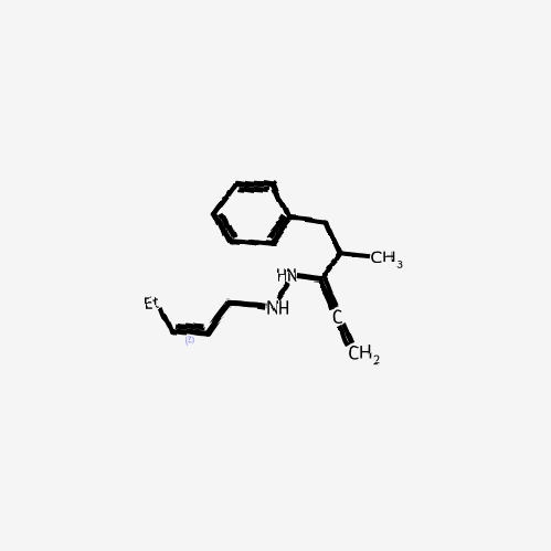 C=C=C(NNC/C=C\CC)C(C)Cc1ccccc1